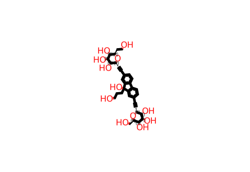 OCCCC1(O)c2cc(C#C[C@H]3O[C@H](CO)[C@@H](O)[C@H](O)[C@@H]3O)ccc2-c2ccc(C#C[C@H]3O[C@H](CCO)[C@@H](O)[C@H](O)[C@@H]3O)cc21